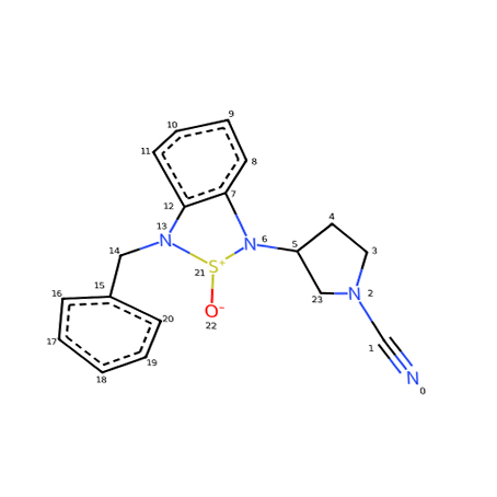 N#CN1CCC(N2c3ccccc3N(Cc3ccccc3)[S+]2[O-])C1